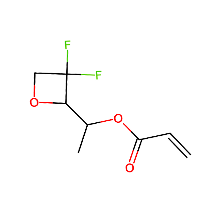 C=CC(=O)OC(C)C1OCC1(F)F